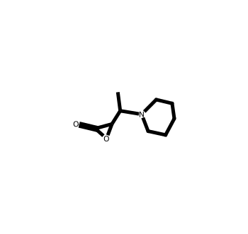 CC(C1OC1=O)N1CCCCC1